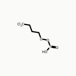 [O]=[Ti]([OH])[O]OCCCC(Cl)(Cl)Cl